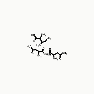 CC(C)CC(N)C(=O)O.CCC(C)C(N)C(=O)O.NC(=O)CC(N)C(=O)O